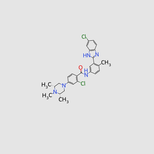 Cc1ccc(NC(=O)c2ccc(N3C[C@@H](C)N(C)[C@@H](C)C3)cc2Cl)cc1-c1nc2ccc(Cl)cc2[nH]1